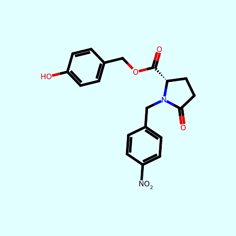 O=C(OCc1ccc(O)cc1)[C@@H]1CCC(=O)N1Cc1ccc([N+](=O)[O-])cc1